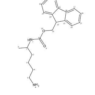 CC(CCCCN)NC(=O)OCC1c2ccccc2-c2ccccc21